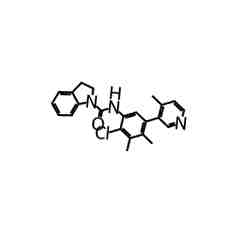 Cc1ccncc1-c1cc(NC(=O)N2CCc3ccccc32)c(Cl)c(C)c1C